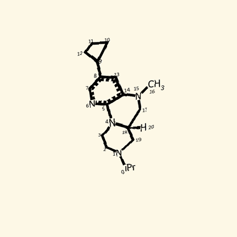 CC(C)N1CCN2c3ncc(C4CCC4)cc3N(C)C[C@@H]2C1